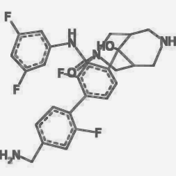 NCc1ccc(-c2ccc(C3(O)C4CNCC3CN(C(=O)Nc3cc(F)cc(F)c3)C4)cc2F)c(F)c1